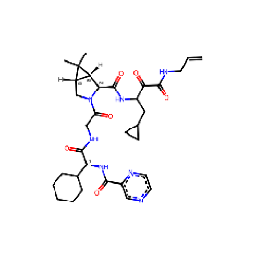 C=CCNC(=O)C(=O)C(CC1CC1)NC(=O)[C@@H]1[C@@H]2[C@H](CN1C(=O)CNC(=O)[C@@H](NC(=O)c1cnccn1)C1CCCCC1)C2(C)C